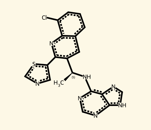 C[C@H](Nc1ncnc2[nH]cnc12)c1cc2cccc(Cl)c2nc1-c1cncs1